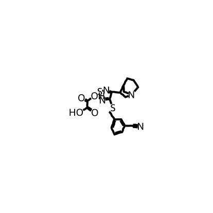 N#Cc1cccc(CSc2nsnc2C2CN3CCCC2C3)c1.O=C(O)C(=O)O